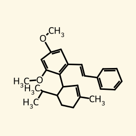 COc1cc(/C=C/c2ccccc2)c(C2C=C(C)CCC2C(C)C)c(OC)c1